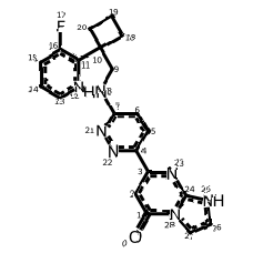 O=c1cc(-c2ccc(NCC3(c4ncccc4F)CCC3)nn2)nc2[nH]ccn12